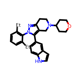 CCc1cccc(CC)c1-n1nc2c(c1-c1ccc3[nH]ccc3c1)CN(C1CCOCC1)CC2